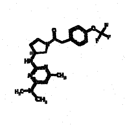 Cc1cc(N(C)C)nc(N[C@H]2CCN(C(=O)Cc3ccc(OC(F)(F)F)cc3)C2)n1